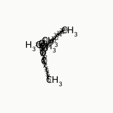 CCCCCCCCCCCCCCOCC(CC(C)(C)OCC)OCCCCCCCCCCCCCC